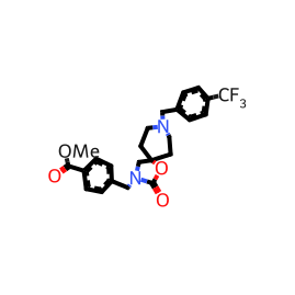 COC(=O)c1ccc(CN2CC3(CCN(Cc4ccc(C(F)(F)F)cc4)CC3)OC2=O)cc1